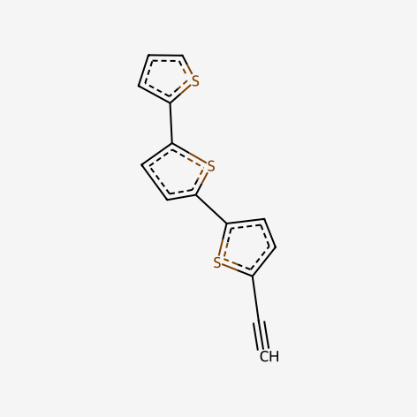 C#Cc1ccc(-c2ccc(-c3cccs3)s2)s1